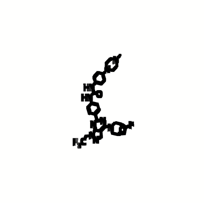 CN1CCN(c2ccc(NC(=O)Nc3ccc(-c4nc(N5CC6CC(F)C(C5)O6)c5cnn(CC(F)(F)F)c5n4)cc3)cc2)CC1